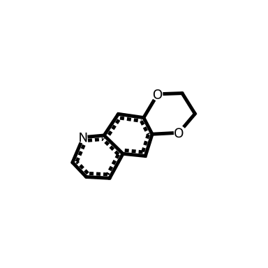 c1cnc2cc3c(cc2c1)OCCO3